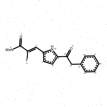 CNC(=O)/C(F)=C/c1ccc(C(=O)Cc2ccccc2)[nH]1